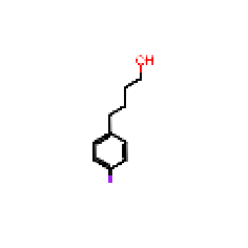 OCCCCc1ccc(I)cc1